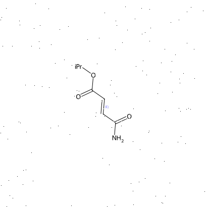 CC(C)OC(=O)/C=C/C(N)=O